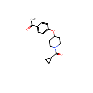 COC(=O)c1ccc(OC2CCN(C(=O)C3CC3)CC2)cc1